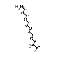 CC(C)C(=O)COCCOCCOCCCN